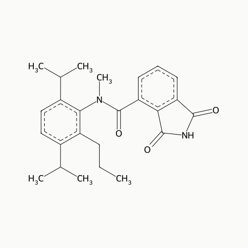 CCCc1c(C(C)C)ccc(C(C)C)c1N(C)C(=O)c1cccc2c1C(=O)NC2=O